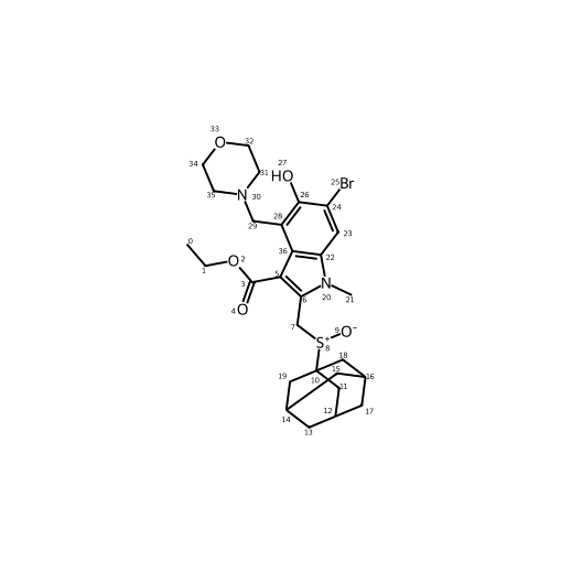 CCOC(=O)c1c(C[S+]([O-])C23CC4CC(CC(C4)C2)C3)n(C)c2cc(Br)c(O)c(CN3CCOCC3)c12